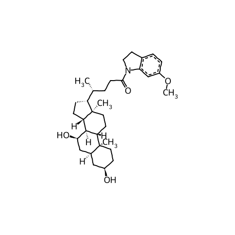 COc1ccc2c(c1)N(C(=O)CC[C@@H](C)[C@H]1CC[C@H]3[C@@H]4[C@H](O)C[C@@H]5C[C@H](O)CC[C@]5(C)[C@H]4CC[C@]13C)CC2